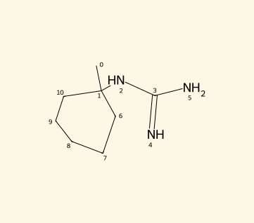 CC1(NC(=N)N)CCCCC1